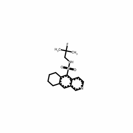 CC(C)(F)CNS(=O)(=O)c1c2c(cc3cnccc13)CCCC2